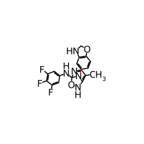 CC1=C2NOC(Nc3cc(F)c(F)c(F)c3)(N=C1)N2c1ccc2c(c1)NCO2